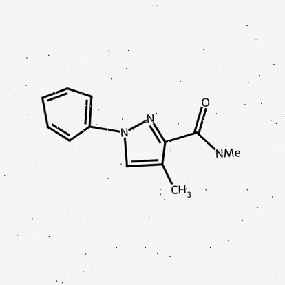 CNC(=O)c1nn(-c2ccccc2)cc1C